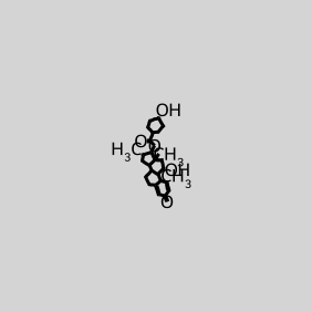 CC1CC2C3CCC4=CC(=O)C=CC4(C)C3C(O)CC2(C)C1OC(=O)C1CCC(O)CC1